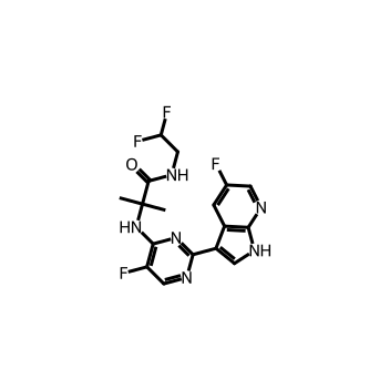 CC(C)(Nc1nc(-c2c[nH]c3ncc(F)cc23)ncc1F)C(=O)NCC(F)F